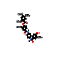 COc1cc(C(=O)N(C)c2ccc(N(C)C(=O)c3ccc(OC(=O)c4cc(OC)c(OC)cc4OC)c(OC)c3)cc2)ccc1O